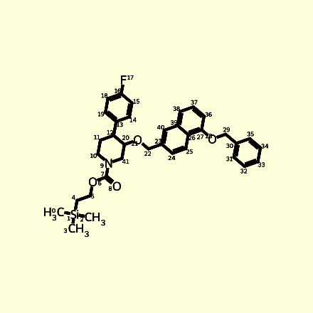 C[Si](C)(C)CCOC(=O)N1CCC(c2ccc(F)cc2)C(OCc2ccc3c(OCc4ccccc4)cccc3c2)C1